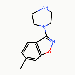 Cc1ccc2c(N3CCNCC3)noc2c1